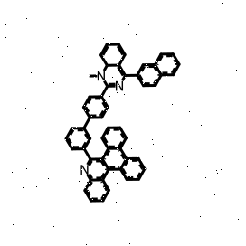 CN1C(c2ccc(-c3cccc(-c4nc5ccccc5c5c6ccccc6c6ccccc6c45)c3)cc2)=NC(c2ccc3ccccc3c2)=C2C=CC=CC21